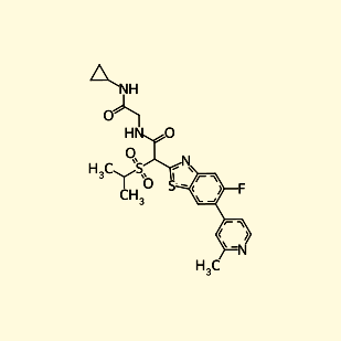 Cc1cc(-c2cc3sc(C(C(=O)NCC(=O)NC4CC4)S(=O)(=O)C(C)C)nc3cc2F)ccn1